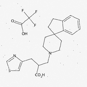 O=C(O)C(Cc1cscn1)CN1CCC2(CCc3ccccc32)CC1.O=C(O)C(F)(F)F